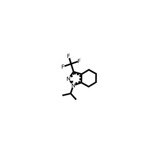 CC(C)n1nc(C(F)(F)F)c2c1CCCC2